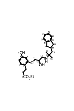 CCOC(=O)CCc1ccc(C#N)cc1OC[C@H](O)CNC(C)(C)CC1Cc2ccccc2C1